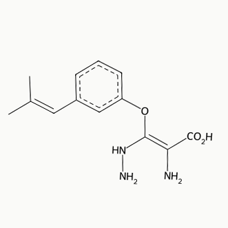 CC(C)=Cc1cccc(O/C(NN)=C(/N)C(=O)O)c1